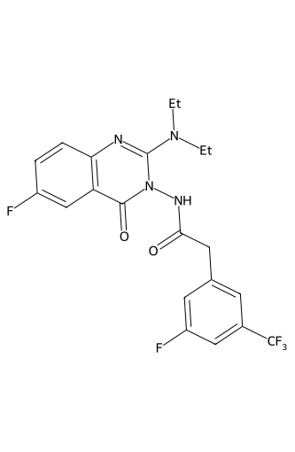 CCN(CC)c1nc2ccc(F)cc2c(=O)n1NC(=O)Cc1cc(F)cc(C(F)(F)F)c1